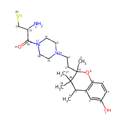 CC1c2cc(O)ccc2OC(C)(CCN2CCN(C(=O)C(N)CS)CC2)C1(C)C